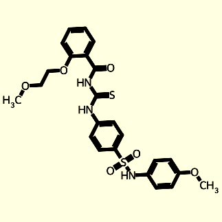 COCCOc1ccccc1C(=O)NC(=S)Nc1ccc(S(=O)(=O)Nc2ccc(OC)cc2)cc1